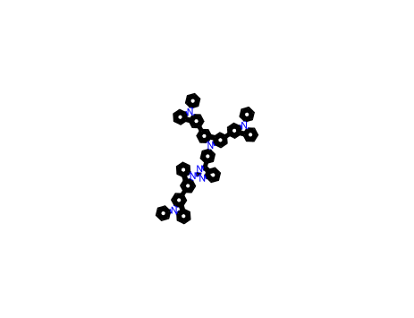 c1ccc(-n2c3ccccc3c3cc(-c4ccc5c(c4)c4cc(-c6ccc7c(c6)c6ccccc6n7-c6ccccc6)ccc4n5-c4ccc(-c5nc(-n6c7ccccc7c7cc(-c8ccc9c(c8)c8ccccc8n9-c8ccccc8)ccc76)nc6ccccc56)cc4)ccc32)cc1